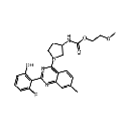 COCCOC(=O)NC1CCN(c2nc(-c3c(O)cccc3F)nc3cc(C)ccc23)C1